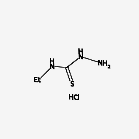 CCNC(=S)NN.Cl